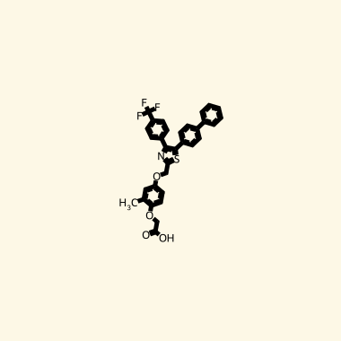 Cc1cc(OCc2nc(-c3ccc(C(F)(F)F)cc3)c(-c3ccc(-c4ccccc4)cc3)s2)ccc1OCC(=O)O